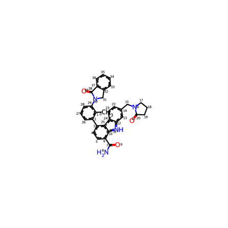 Cc1c(-c2ccc(C(N)=O)c3[nH]c4cc(CN5CCCC5=O)ccc4c23)cccc1N1Cc2ccccc2C1=O